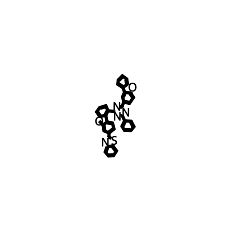 c1ccc(-c2nc(-c3ccc4oc5ccccc5c4c3)nc(-c3cccc4oc5cc(-c6nc7ccccc7s6)ccc5c34)n2)cc1